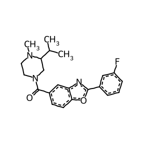 CC(C)C1CN(C(=O)c2ccc3oc(-c4cccc(F)c4)nc3c2)CCN1C